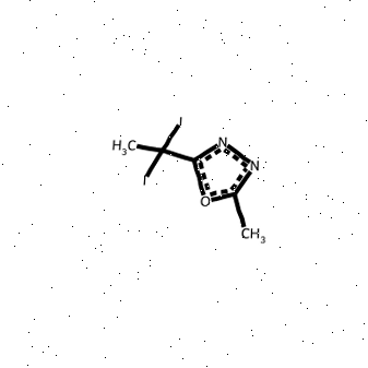 Cc1nnc(C(C)(I)I)o1